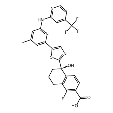 Cc1cc(Nc2cc(C(F)(F)F)ccn2)nc(-c2cnc([C@@]3(O)CCCc4c3ccc(C(=O)O)c4F)s2)c1